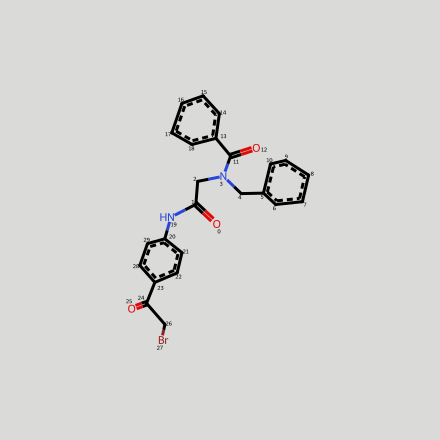 O=C(CN(Cc1ccccc1)C(=O)c1ccccc1)Nc1ccc(C(=O)CBr)cc1